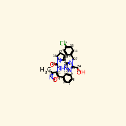 Cc1noc(-c2ccccc2)c1NC(=O)N1CCC[C@@H]1c1nnc(CO)n1Cc1ccc(Cl)cc1